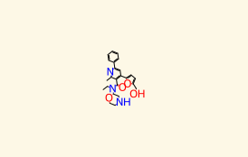 CCN(C(=O)c1c(-c2ccc(CO)o2)cc(-c2ccccc2)nc1C)C1CNCCO1